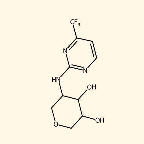 OC1COCC(Nc2nccc(C(F)(F)F)n2)C1O